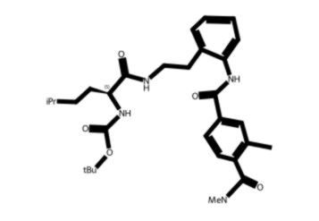 CNC(=O)c1ccc(C(=O)Nc2ccccc2CCNC(=O)[C@H](CCC(C)C)NC(=O)OC(C)(C)C)cc1C